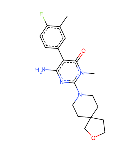 Cc1cc(-c2c(N)nc(N3CCC4(CCOC4)CC3)n(C)c2=O)ccc1F